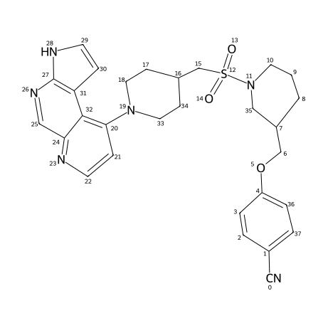 N#Cc1ccc(OCC2CCCN(S(=O)(=O)CC3CCN(c4ccnc5cnc6[nH]ccc6c45)CC3)C2)cc1